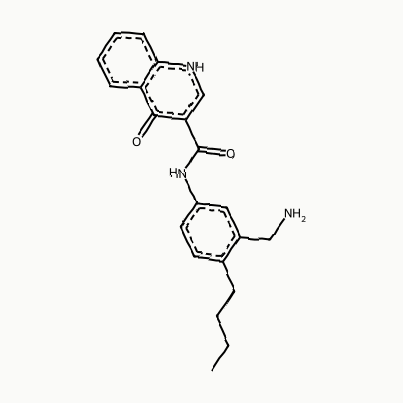 CCCCc1ccc(NC(=O)c2c[nH]c3ccccc3c2=O)cc1CN